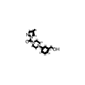 Cc1cnn(C(=O)N2CCN(c3cccc(CO)c3)CC2)c1